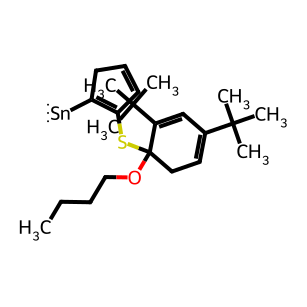 CCCCOC1(SC2=[C]([Sn])CC=C2)CC=C(C(C)(C)C)C=C1C(C)(C)C